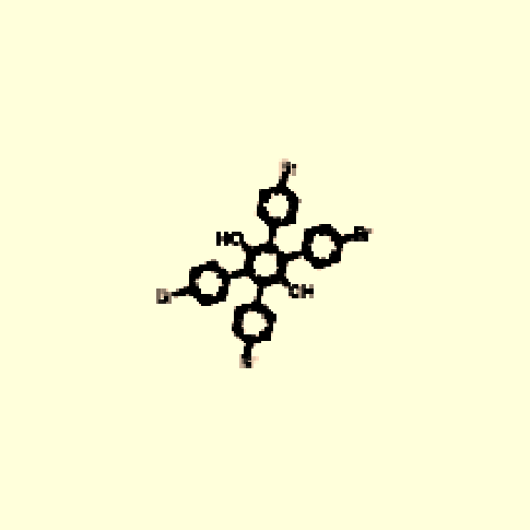 Oc1c(-c2ccc(Br)cc2)c(-c2ccc(Br)cc2)c(O)c(-c2ccc(Br)cc2)c1-c1ccc(Br)cc1